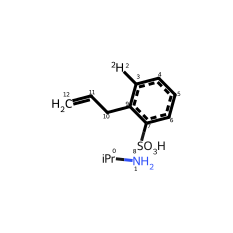 CC(C)N.[2H]c1cccc(S(=O)(=O)O)c1CC=C